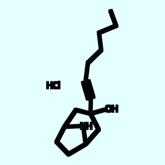 CCCCCC#CC1(O)CC2CCC(C1)N2.Cl